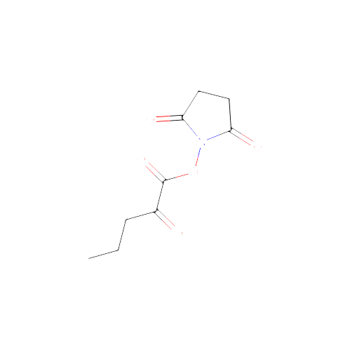 CCCC(=O)C(=O)ON1C(=O)CCC1=O